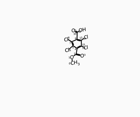 COC(=O)c1c(Cl)c(Cl)c(C(=O)O)c(Cl)c1Cl